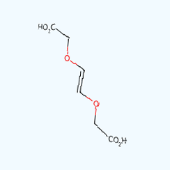 O=C(O)COC=COCC(=O)O